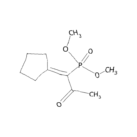 COP(=O)(OC)C(C(C)=O)=C1CCCC1